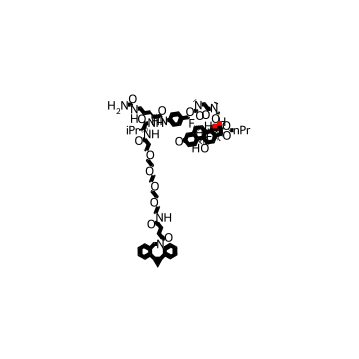 CCCC1O[C@@H]2C[C@H]3[C@@H]4C[C@H](F)C5=CC(=O)C=C[C@]5(C)[C@@]4(F)[C@@H](O)C[C@]3(C)[C@]2(C(=O)COCN(C)C(=O)CN(C)C(=O)OCc2ccc(NC(=O)[C@H](CCCNC(N)=O)NC(=O)[C@@H](NC(=O)CCOCCOCCOCCOCCNC(=O)CCC(=O)N3Cc4ccccc4C4=C(C4)c4ccccc43)C(C)C)cc2)O1